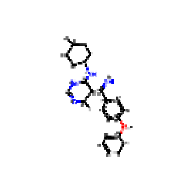 CC1CCC(NC2=NC=NC(C)C2C(=N)c2ccc(OC3=CC=CCC3)cc2)CC1